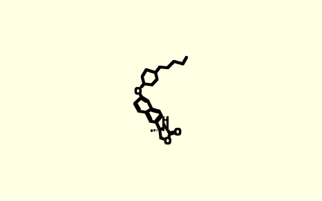 CCCCCC1CCC(Oc2ccc3cc([C@]4(C)COC(=O)N4)ccc3c2)CC1